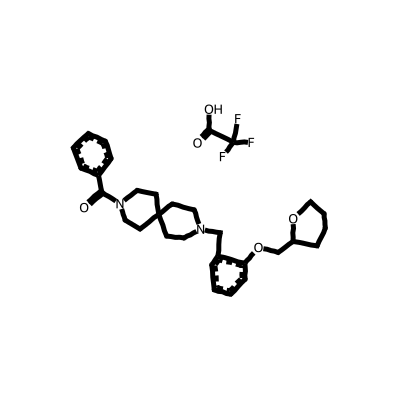 O=C(O)C(F)(F)F.O=C(c1ccccc1)N1CCC2(CCN(Cc3ccccc3OCC3CCCCO3)CC2)CC1